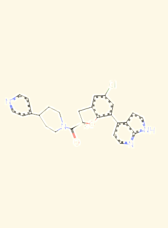 O=C([C@H]1Cc2cc(Cl)cc(-c3ccnc4[nH]ccc34)c2O1)N1CCC(c2ccncc2)CC1